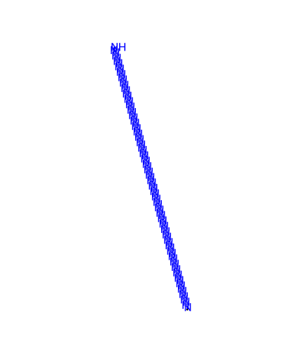 C=N/N=N/N=N/N=N/N=N/N=N/N=N/N=N/N=N/N=N/N=N/N=N/N=N/N=N/N=N/N=N/N=N/N=N/N=N/N=N/N=N/N=N/N=N/N=N/N=N/N=N/N=N/N=N/N=N/N=N/N=N/N=N/N=N/N=N/N=N/N=N/N=N/N=N/N=N/N=N/N=N/N=N/N=N/N=N/N=N/N=N/N=N/N=N/N=N